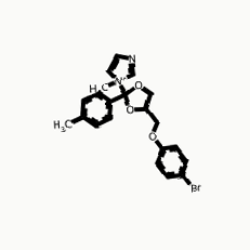 Cc1ccc(C2([N+]3(C)C=CN=C3)OCC(COc3ccc(Br)cc3)O2)cc1